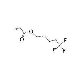 C=CC(=O)OCCCCC(F)(F)F